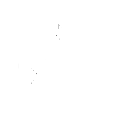 CC(C1=C(CCN(C)C)Cc2ccccc21)c1cccnn1